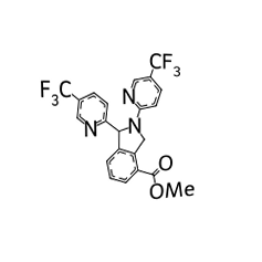 COC(=O)c1cccc2c1CN(c1ccc(C(F)(F)F)cn1)C2c1ccc(C(F)(F)F)cn1